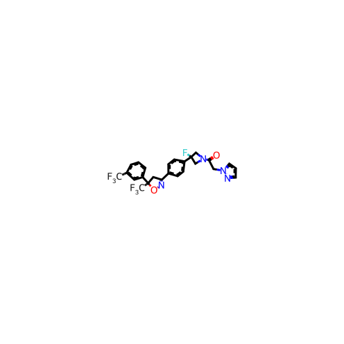 O=C(Cn1cccn1)N1CC(F)(c2ccc(C3=NOC(c4cccc(C(F)(F)F)c4)(C(F)(F)F)C3)cc2)C1